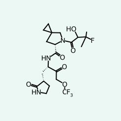 CC(C)(F)C(O)C(=O)N1CC2(CC2)C[C@H]1C(=O)N[C@@H](C[C@@H]1CCNC1=O)C(=O)COC(F)(F)F